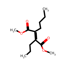 CCCCC(C(=O)OC)=C(CCC)C(=O)OC